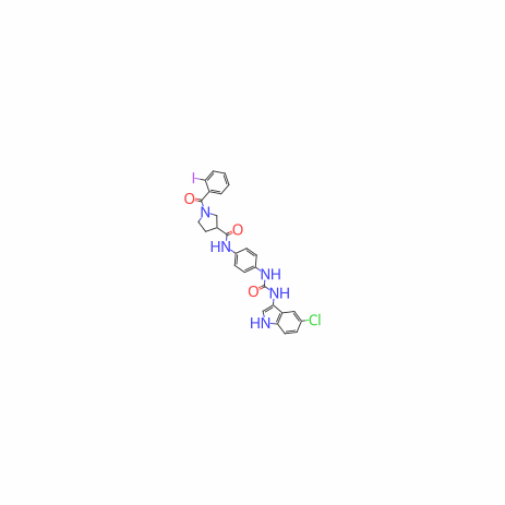 O=C(Nc1ccc(NC(=O)C2CCN(C(=O)c3ccccc3I)C2)cc1)Nc1c[nH]c2ccc(Cl)cc12